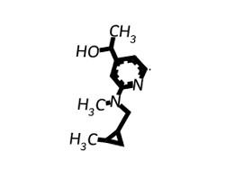 CC(O)c1c[c]nc(N(C)CC2CC2C)c1